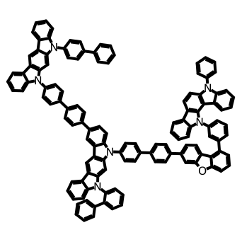 c1ccc(-c2ccc(-n3c4ccccc4c4cc5c6ccccc6n(-c6ccc(-c7ccc(-c8ccc9c(c8)c8cc%10c%11ccccc%11n(-c%11ccccc%11-c%11ccccc%11)c%10cc8n9-c8ccc(-c9ccc(-c%10ccc%11c(c%10)oc%10cccc(-c%12cccc(-n%13c%14ccccc%14c%14ccc%15c(c%16ccccc%16n%15-c%15ccccc%15)c%14%13)c%12)c%10%11)cc9)cc8)cc7)cc6)c5cc43)cc2)cc1